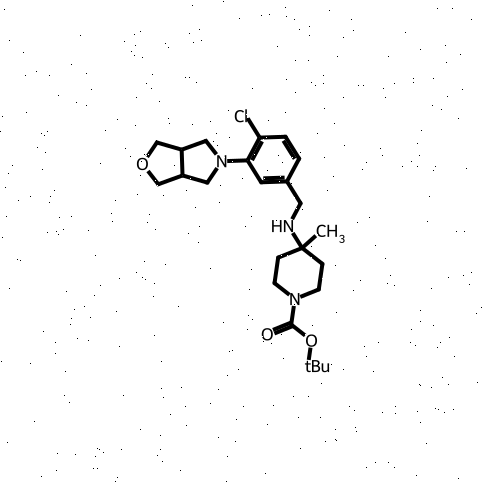 CC1(NCc2ccc(Cl)c(N3CC4COCC4C3)c2)CCN(C(=O)OC(C)(C)C)CC1